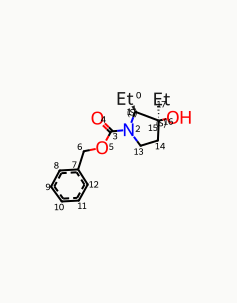 CC[C@@H]1N(C(=O)OCc2ccccc2)CC[C@@]1(O)CC